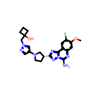 COc1cc2nc(N)n3nc([C@@H]4CCN(c5cnn(CC6(O)CCC6)c5)C4)nc3c2cc1F